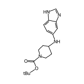 CC(C)(C)OC(=O)N1CCC(Nc2ccc3[nH]cnc3c2)CC1